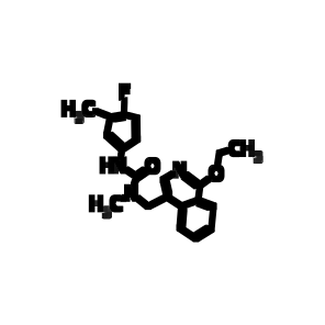 CCOc1ncc(CN(C)C(=O)Nc2ccc(F)c(C)c2)c2ccccc12